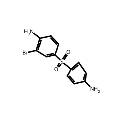 Nc1ccc(S(=O)(=O)c2ccc(N)c(Br)c2)cc1